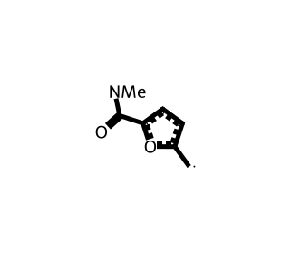 [CH2]c1ccc(C(=O)NC)o1